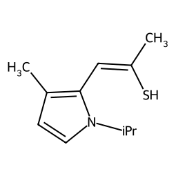 C/C(S)=C/c1c(C)ccn1C(C)C